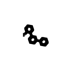 Fc1ccccc1-c1cccc(-c2ccccc2)c1